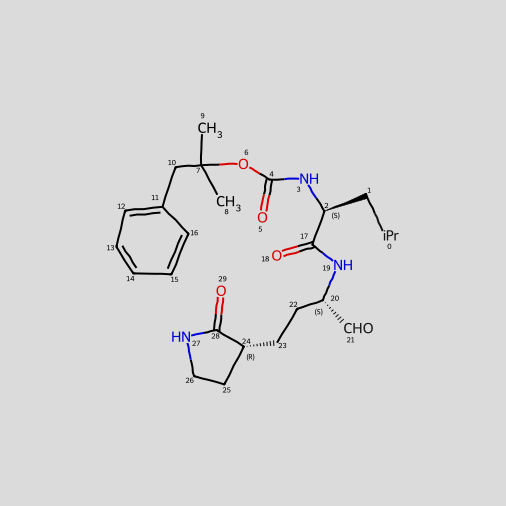 CC(C)C[C@H](NC(=O)OC(C)(C)Cc1ccccc1)C(=O)N[C@H](C=O)CC[C@@H]1CCNC1=O